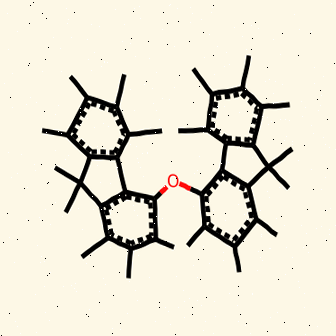 Cc1c(C)c(C)c2c(c1C)-c1c(Oc3c(C)c(C)c(C)c4c3-c3c(C)c(C)c(C)c(C)c3C4(C)C)c(C)c(C)c(C)c1C2(C)C